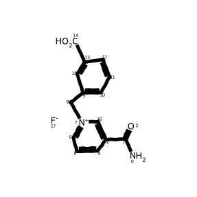 NC(=O)c1ccc[n+](Cc2cccc(C(=O)O)c2)c1.[F-]